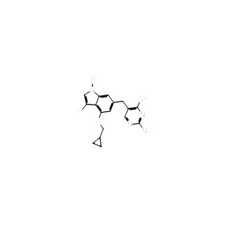 CCn1cc(Br)c2c(OCC3CC3)cc(Cc3cnc(N)nc3N)cc21